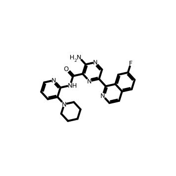 Nc1ncc(-c2nccc3ccc(F)cc23)nc1C(=O)Nc1ncccc1N1CCCCC1